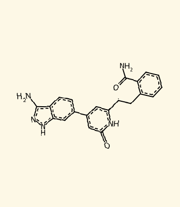 NC(=O)c1ccccc1C[CH]c1cc(-c2ccc3c(N)n[nH]c3c2)cc(=O)[nH]1